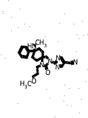 CNC1(c2ccccc2)CCC2(CC1)CN(c1ncc(C#N)cn1)C(=O)N2CCCOC